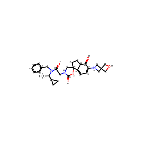 CC(C1CC1)N(Cc1ccccc1)C(=O)CN1CC2(CCC3C(=O)C(N4CC5(COC5)C4)=CC=C32)OC1=O